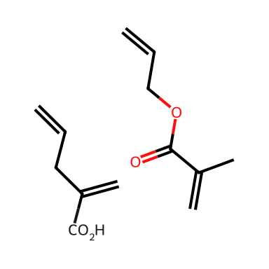 C=CCC(=C)C(=O)O.C=CCOC(=O)C(=C)C